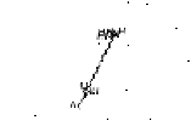 CC(=O)CCCSNC(=O)CCCCCCCCCCCCCCCC1=NNNN1